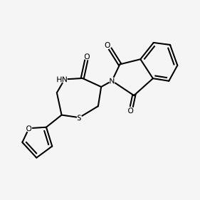 O=C1NCC(c2ccco2)SCC1N1C(=O)c2ccccc2C1=O